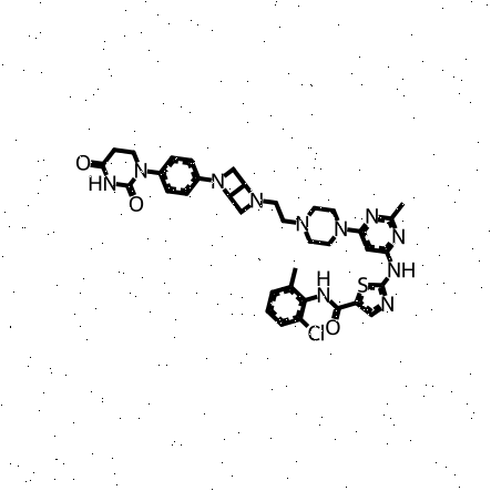 Cc1nc(Nc2ncc(C(=O)Nc3c(C)cccc3Cl)s2)cc(N2CCN(CCN3CC4C3CN4c3ccc(N4CCC(=O)NC4=O)cc3)CC2)n1